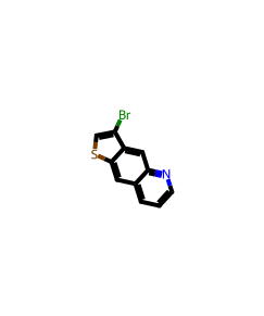 Brc1csc2cc3cccnc3cc12